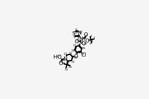 CC(C)(C)OC(=O)N(c1cscn1)S(=O)(=O)c1ccc(OC2CCN(C(=O)O)C(C(C)(C)C)C2)c(Cl)c1